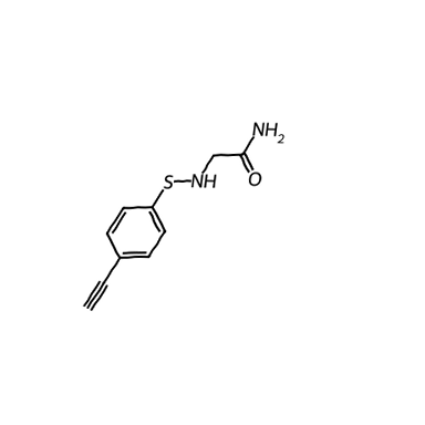 C#Cc1ccc(SNCC(N)=O)cc1